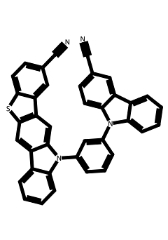 N#Cc1ccc2sc3cc4c5ccccc5n(-c5cccc(-n6c7ccccc7c7cc(C#N)ccc76)c5)c4cc3c2c1